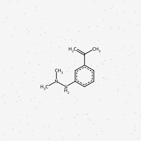 C=C(C)c1cccc([SiH2]N(C)C)c1